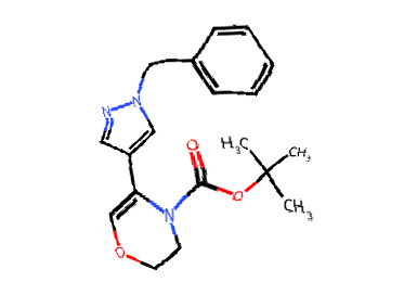 CC(C)(C)OC(=O)N1CCOC=C1c1cnn(Cc2ccccc2)c1